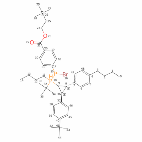 CCCCc1ccc([C@H]2C([PH](CCCC)(P(Br)c3ccc(C(=O)OCC[Si](C)(C)C)cc3)C(C)(C)C)[C@@H]2c2ccc(C(C)(C)C)cc2)cc1